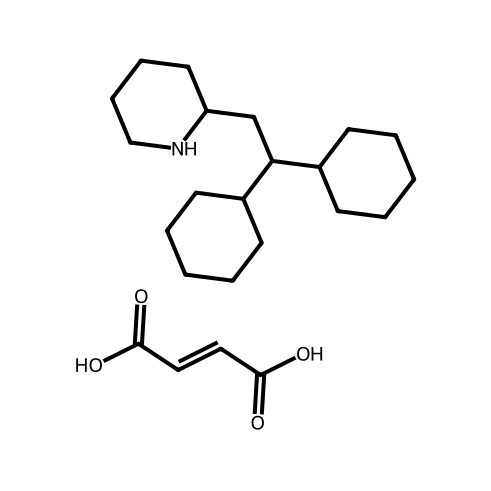 C1CCC(C(CC2CCCCN2)C2CCCCC2)CC1.O=C(O)C=CC(=O)O